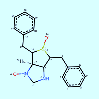 [O-][NH+]1CNC2C(Cc3ccccc3)[S+]([O-])C(Cc3ccccc3)[C@@H]21